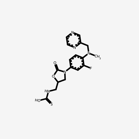 CN(Cc1cnccn1)c1ccc(N2CC(CNC(O)=S)OC2=O)cc1F